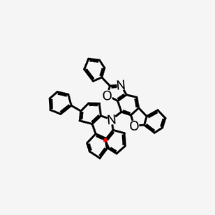 c1ccc(-c2ccc(N(c3ccccc3)c3c4oc(-c5ccccc5)nc4cc4c3oc3ccccc34)c(-c3ccccc3)c2)cc1